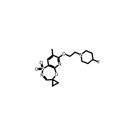 Cc1cc2c(nc1OCCN1CCC(F)CC1)OC1(C=NS2(=O)=O)CC1